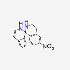 O=[N+]([O-])c1ccc2c(c1)CCNC21NC=Cc2ccccc21